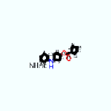 CC(=O)Nc1ccccc1Nc1ccc(OC(=O)c2ccccc2)cc1